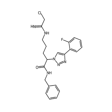 N=C(CCl)NCCCC(C(=O)NCc1ccccc1)n1cc(-c2ccccc2F)nn1